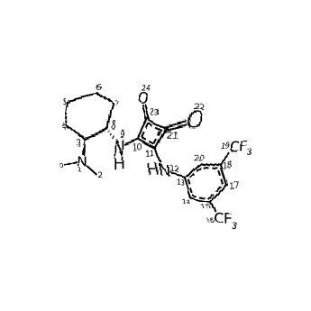 CN(C)[C@H]1CCCC[C@@H]1Nc1c(Nc2cc(C(F)(F)F)cc(C(F)(F)F)c2)c(=O)c1=O